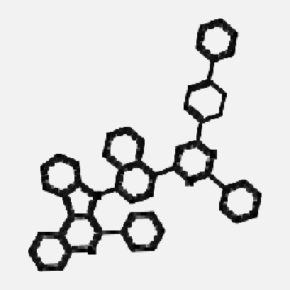 C1=C(c2ccccc2)CCC(c2cc(-c3ccc(-n4c5ccccc5c5c6ccccc6nc(-c6ccccc6)c54)c4ccccc34)nc(-c3ccccc3)n2)=C1